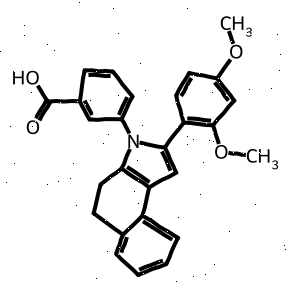 COc1ccc(-c2cc3c(n2-c2cccc(C(=O)O)c2)CCc2ccccc2-3)c(OC)c1